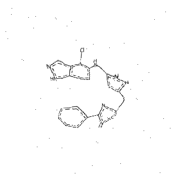 Clc1c(Nc2nnc(Cc3c[nH]c(-c4ccccc4)n3)s2)ccc2[nH]ncc12